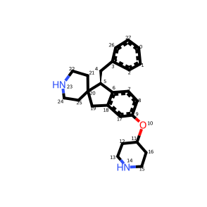 c1ccc(C[C@H]2c3ccc(OC4CCNCC4)cc3CC23CCNCC3)cc1